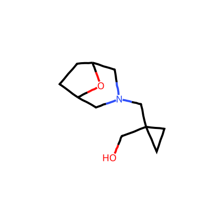 OCC1(CN2CC3CCC(C2)O3)CC1